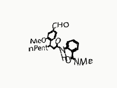 CCCCCC(CC(=O)Nc1ccccc1C(=O)NC)c1ccc(C=O)cc1OC